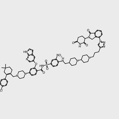 CC1(C)CCC(CN2CCN(c3ccc(C(=O)NS(=O)(=O)c4ccc(NCC5CCN(C6CCN(CCCc7cn(-c8cccc9c8CN(C8CCC(=O)NC8=O)C9=O)nn7)CC6)CC5)c([N+](=O)[O-])c4)c(Oc4cnc5[nH]ccc5c4)c3)CC2)=C(c2ccc(Cl)cc2)C1